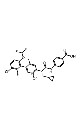 Cc1cc([C@@H](CC2CC2)C(=O)Nc2ccc(C(=O)O)cc2)[n+]([O-])cc1-c1c(OC(F)F)ccc(Cl)c1F